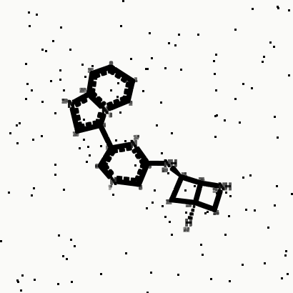 c1ccn2c(-c3cncc(N[C@@H]4C[C@@H]5CNC54)n3)cnc2c1